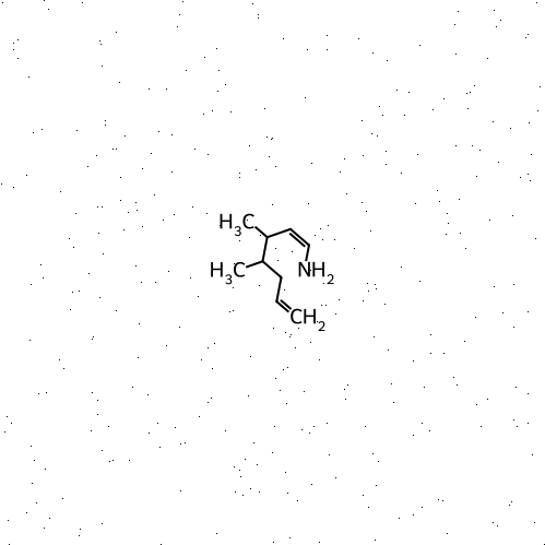 C=CCC(C)C(C)/C=C\N